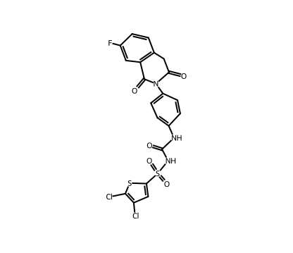 O=C(Nc1ccc(N2C(=O)Cc3ccc(F)cc3C2=O)cc1)NS(=O)(=O)c1cc(Cl)c(Cl)s1